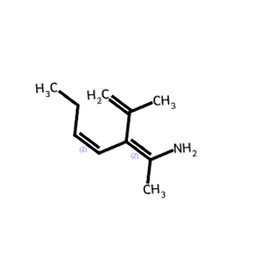 C=C(C)C(/C=C\CC)=C(/C)N